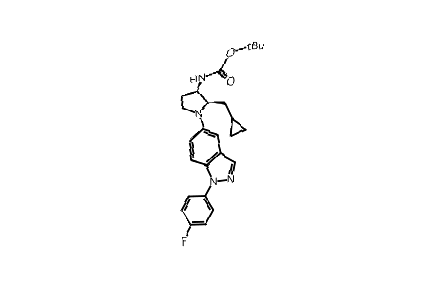 CC(C)(C)OC(=O)N[C@@H]1CCN(c2ccc3c(cnn3-c3ccc(F)cc3)c2)[C@@H]1CC1CC1